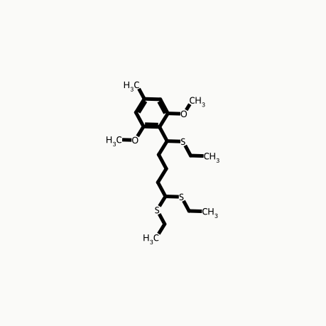 CCSC(CCCC(SCC)c1c(OC)cc(C)cc1OC)SCC